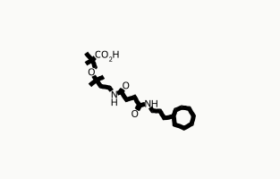 CC(C)(CCNC(=O)CCC(=O)NCCCC1CCCCCCC1)OCC(C)(C)C(=O)O